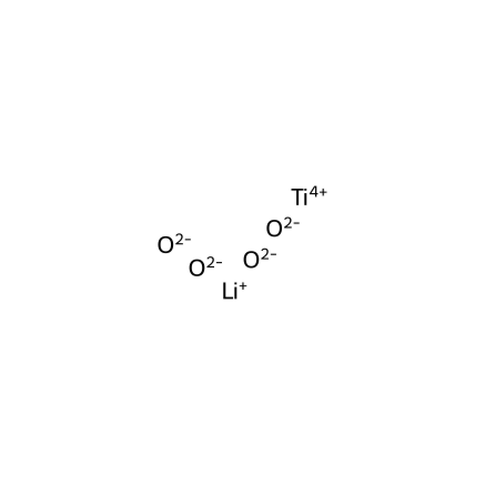 [Li+].[O-2].[O-2].[O-2].[O-2].[Ti+4]